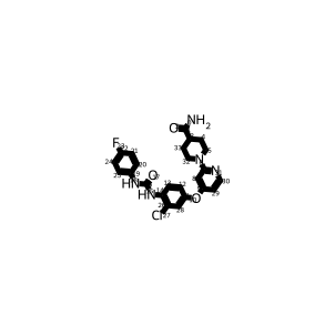 NC(=O)C1CCN(c2cc(Oc3ccc(NC(=O)Nc4ccc(F)cc4)c(Cl)c3)ccn2)CC1